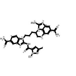 CCn1nc(C)cc1C(=O)Nc1nc2cc(C(N)=O)ccc2n1CCCC1COc2cc(C(N)=O)cc3nc(NC)n1c23